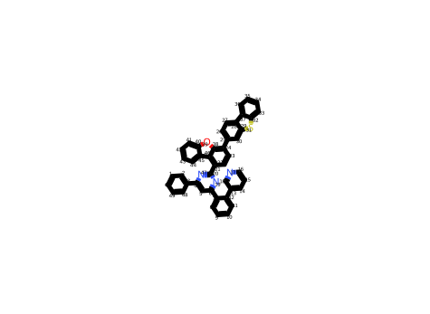 c1ccc(-c2cc(-c3ccccc3-c3cccnc3)nc(-c3ccc(-c4ccc5c(c4)sc4ccccc45)c4oc5ccccc5c34)n2)cc1